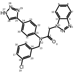 O=C(Cn1nnc2ccccc21)N(Cc1cccc(Cl)c1)c1ccc(-c2c[nH]nn2)cc1